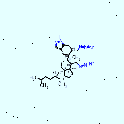 CC(C)CCCC(C)[C@H]1CC[C@H]2[C@H](CN=[N+]=[N-])[C@@H]([C@@]3(C)Cc4cn[nH]c4C[C@@H]3CN=[N+]=[N-])CC[C@]12C